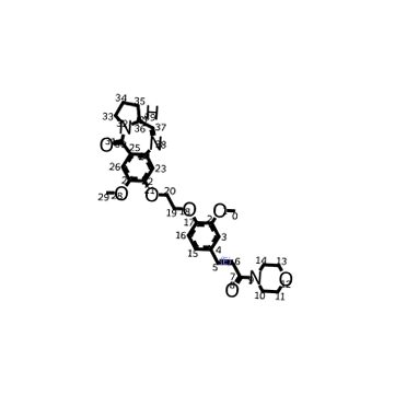 COc1cc(/C=C/C(=O)N2CCOCC2)ccc1OCCOc1cc2c(cc1OC)C(=O)N1CCC[C@H]1C=N2